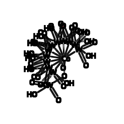 [O]=[W](=[O])([OH])[O][Co](=[O])([W](=[O])(=[O])[OH])([W](=[O])(=[O])[OH])([W](=[O])(=[O])[OH])([W](=[O])(=[O])[OH])([W](=[O])(=[O])[OH])([W](=[O])(=[O])[OH])([W](=[O])(=[O])[OH])([W](=[O])(=[O])[OH])([W](=[O])(=[O])[OH])([W](=[O])(=[O])[OH])[W](=[O])(=[O])[OH]